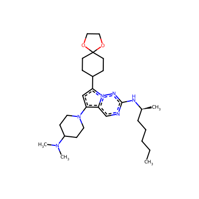 CCCCC[C@H](C)Nc1ncc2c(N3CCC(N(C)C)CC3)cc(C3CCC4(CC3)OCCO4)n2n1